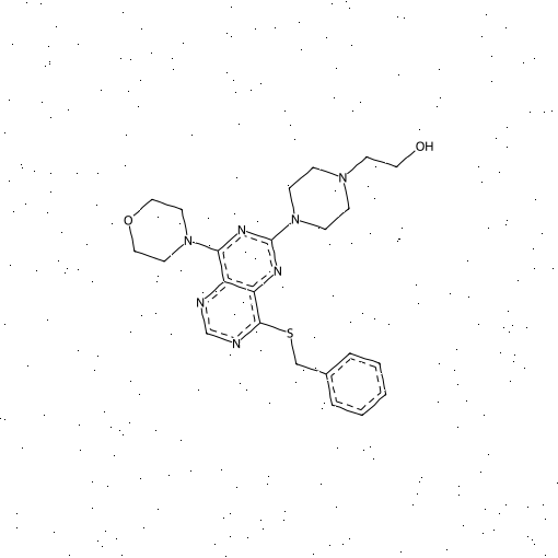 OCCN1CCN(c2nc(N3CCOCC3)c3ncnc(SCc4ccccc4)c3n2)CC1